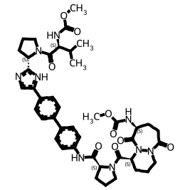 COC(=O)N[C@H]1CCC(=O)N2CCC[C@@H](C(=O)N3CCC[C@H]3C(=O)Nc3ccc(-c4ccc(-c5cnc([C@@H]6CCCN6C(=O)[C@@H](NC(=O)OC)C(C)C)[nH]5)cc4)cc3)N2C1=O